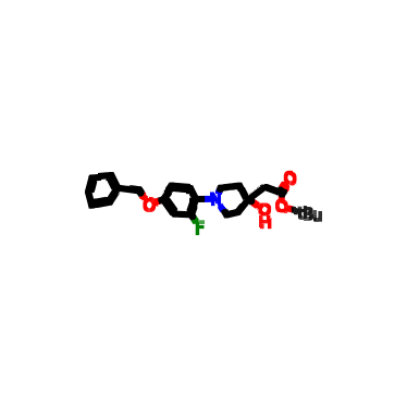 CC(C)(C)OC(=O)CC1(O)CCN(c2ccc(OCc3ccccc3)cc2F)CC1